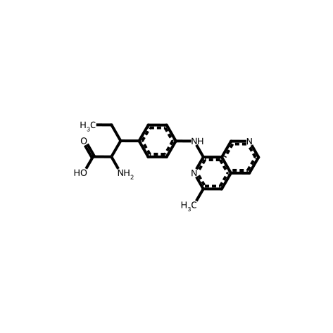 CCC(c1ccc(Nc2nc(C)cc3ccncc23)cc1)C(N)C(=O)O